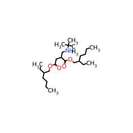 CCCCC(CC)COC(=O)CC(CNC(C)(C)C)C(=O)OCC(CC)CCCC